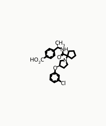 C[C@H](NC(=O)C1(N2CC[C@@H](Oc3cccc(Cl)c3)C2)CCCC1)c1ccc(C(=O)O)cc1